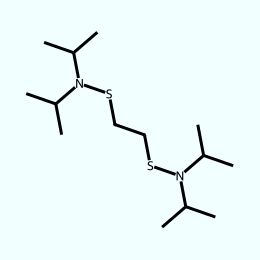 CC(C)N(SCCSN(C(C)C)C(C)C)C(C)C